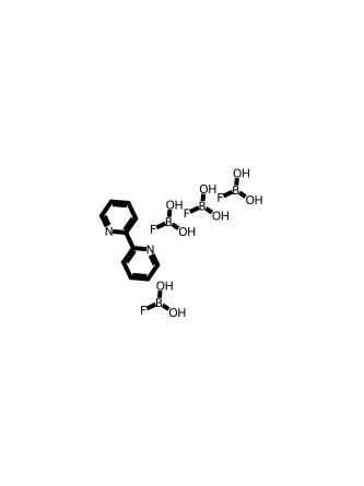 OB(O)F.OB(O)F.OB(O)F.OB(O)F.c1ccc(-c2ccccn2)nc1